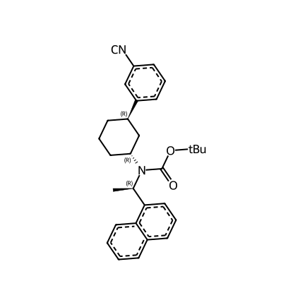 [C-]#[N+]c1cccc([C@@H]2CCC[C@@H](N(C(=O)OC(C)(C)C)[C@H](C)c3cccc4ccccc34)C2)c1